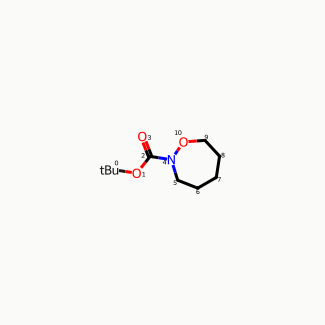 CC(C)(C)OC(=O)N1CCCCCO1